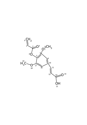 C=CC(=O)Oc1c(OC)cc(/C=C/C(=O)O)cc1OC